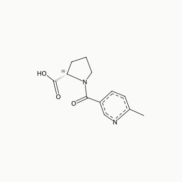 Cc1ccc(C(=O)N2CCC[C@H]2C(=O)O)cn1